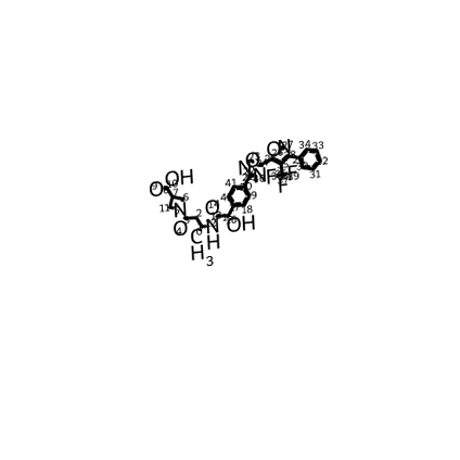 CC(CC(=O)N1CC(C(=O)O)C1)NC(=O)C(O)c1ccc(-c2noc(-c3onc(-c4ccccc4)c3C(F)(F)F)n2)cc1